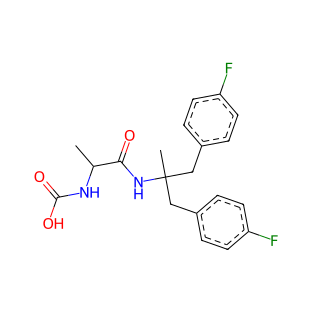 CC(NC(=O)O)C(=O)NC(C)(Cc1ccc(F)cc1)Cc1ccc(F)cc1